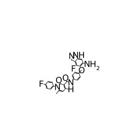 Cc1cc(C)n(-c2ccc(F)cc2)c(=O)c1C(=O)Nc1ccc(Oc2cc3cn[nH]c3cc2N)c(F)c1